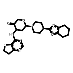 O=C1COC(N2CCC(c3nc4c(o3)CCCC4)CC2)CC1Nc1ncnc2c1SCC2